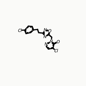 O=c1c(Cl)ccnn1Cc1nc(CCc2ccc(Cl)cc2)no1